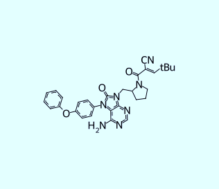 CC(C)(C)C=C(C#N)C(=O)N1CCCC1Cn1c(=O)n(-c2ccc(Oc3ccccc3)cc2)c2c(N)ncnc21